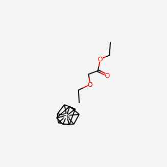 CCOCC(=O)OCC.[CH]12[CH]3[CH]4[CH]5[CH]1[Fe]23451678[CH]2[CH]1[CH]6[CH]7[CH]28